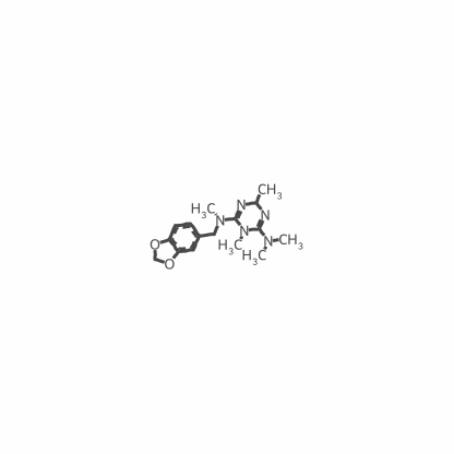 CC1N=C(N(C)C)N(C)C(N(C)Cc2ccc3c(c2)OCO3)=N1